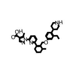 CCc1cc(OCC2=C(c3cccc(-n4ncc(C(=O)O)c4C)n3)CCCC2C)ccc1C1CCNCC1